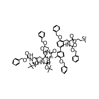 CC(C)(C)OC(=O)N[C@@H](C[C@H](CNC(=O)OCc1ccccc1)O[Si](C)(C)C(C)(C)C)C(=O)N[C@@H](Cc1cc(-c2ccc(OCc3ccccc3)c(C[C@H](NC(=O)OCc3ccccc3)C(=O)OCC[Si](C)(C)C)c2)ccc1OCc1ccccc1)C(=O)NCC(=O)OCc1ccccc1